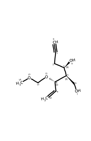 C#CC[C@@H](O)[C@@H](CO)[C@H](C=C)OCOC